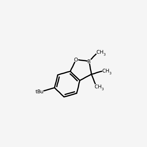 CB1Oc2cc(C(C)(C)C)ccc2C1(C)C